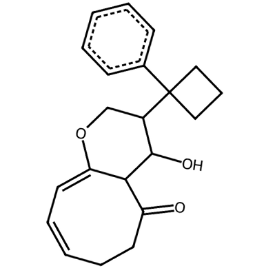 O=C1CCC=CC=C2OCC(C3(c4ccccc4)CCC3)C(O)C12